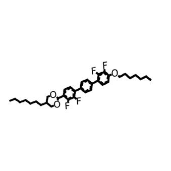 CCCCCCCOc1ccc(-c2ccc(-c3ccc(C4OCC(CCCCCCC)CO4)c(F)c3F)cc2)c(F)c1F